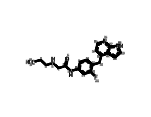 CCCNCC(=O)Nc1ccc(Cc2ccnc3[nH]ccc23)c(F)c1